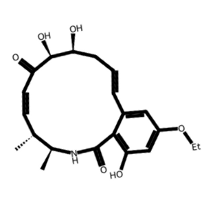 CCOc1cc(O)c2c(c1)/C=C/C[C@H](O)[C@H](O)C(=O)/C=C\[C@@H](C)[C@H](C)NC2=O